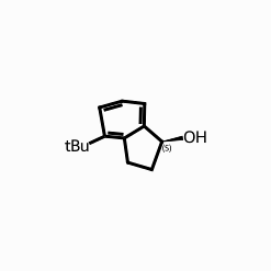 CC(C)(C)c1cccc2c1CC[C@@H]2O